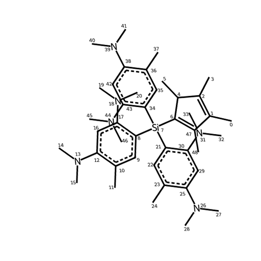 CC1=C(C)C(C)C([Si](c2cc(C)c(N(C)C)cc2N(C)C)(c2cc(C)c(N(C)C)cc2N(C)C)c2cc(C)c(N(C)C)cc2N(C)C)=C1C